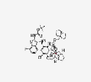 CC(C)(C)OC(=O)Nc1sc2c(F)ccc(-c3c(Cl)c4c5c(nc(OCC67CCCN6CCC7)nc5c3F)N3C[C@H]5CC[C@@H]([C@H]3CO4)N5C(=O)OC(C)(C)C)c2c1C#N